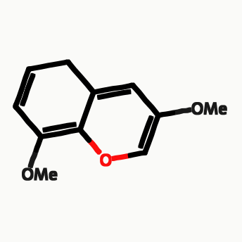 COC1=COC2=C(OC)C=CCC2=C1